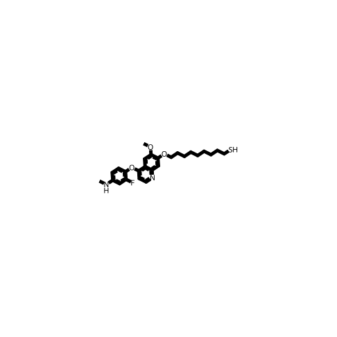 CNc1ccc(Oc2ccnc3cc(OCCCCCCCCCS)c(OC)cc23)c(F)c1